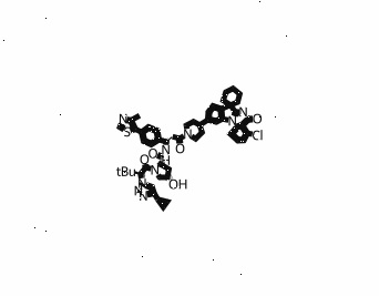 Cc1ncsc1-c1ccc([C@H](CC(=O)N2CCC(c3ccc4c(c3)-n3c(nc(=O)c5c(Cl)cccc53)C43CCCCC3)CC2)NC(=O)[C@@H]2C[C@@H](O)CN2C(=O)[C@@H](n2cc(C3CC3)nn2)C(C)(C)C)cc1